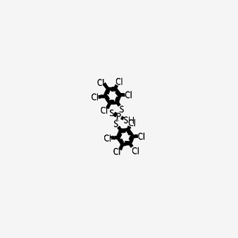 S=P(S)(Sc1c(Cl)c(Cl)c(Cl)c(Cl)c1Cl)Sc1c(Cl)c(Cl)c(Cl)c(Cl)c1Cl